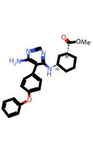 COC(=O)[C@@H]1CCC[C@H](Nc2ncnc(N)c2-c2ccc(Oc3ccccc3)cc2)C1